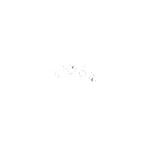 CN(c1ncc(-c2ccc(-c3ncn(C)n3)cc2O)nn1)C1CC(C)(C)NC(C)(C)C1